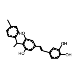 Cc1ccc(C(C)c2c(O)cc(/C=C/c3ccc(O)c(O)c3)cc2O)cc1